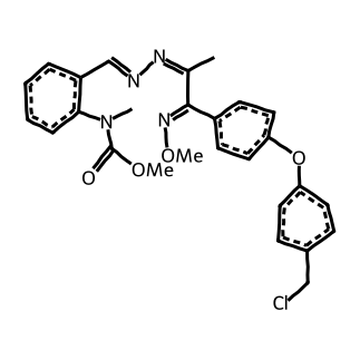 CON=C(C(C)=NN=Cc1ccccc1N(C)C(=O)OC)c1ccc(Oc2ccc(CCl)cc2)cc1